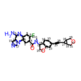 CN(C(=O)c1cc2c(cc1F)nc(N)c1cncn12)[C@@H]1COc2cc(C#CC3C4COCC34)ccc21